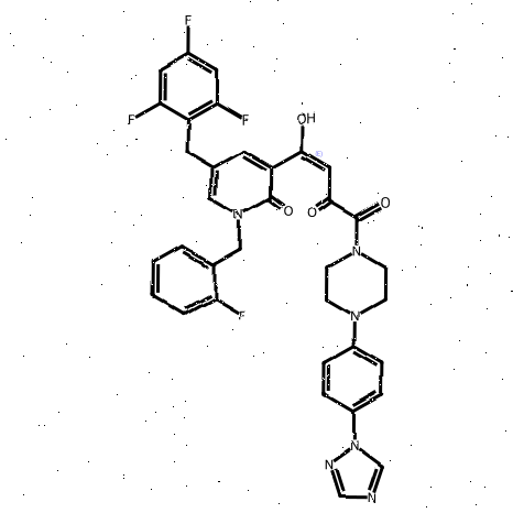 O=C(/C=C(/O)c1cc(Cc2c(F)cc(F)cc2F)cn(Cc2ccccc2F)c1=O)C(=O)N1CCN(c2ccc(-n3cncn3)cc2)CC1